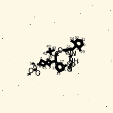 COC(=O)N(C)C1CC2(CC(C3c4cccc(c4)S(=O)(=O)Nc4nc(cc(-c5c(C)cccc5C)n4)OC[C@H]3CC(C)(C)C)C2)C1